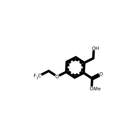 COC(=O)c1cc(OCC(F)(F)F)ccc1CO